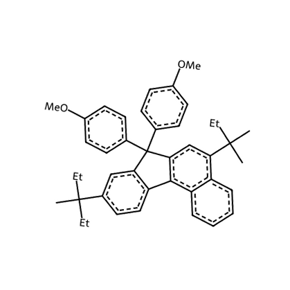 CCC(C)(C)c1cc2c(c3ccccc13)-c1ccc(C(C)(CC)CC)cc1C2(c1ccc(OC)cc1)c1ccc(OC)cc1